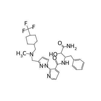 CN(Cc1ccn(-c2ncccc2C(=O)NC(Cc2ccccc2)C(O)C(N)=O)n1)CC1CCC(C(F)(F)F)CC1